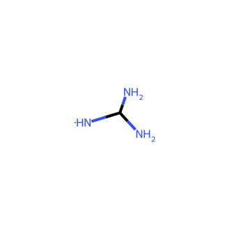 [NH]C(N)N